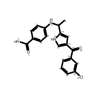 CCCC(=O)c1ccc(NC(C)c2cc(C(=O)c3cccc(Cl)c3)c[nH]2)cc1